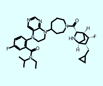 CCN(C(=O)c1cc(F)ccc1N1CCN(C2CCCN(C(=O)[C@H]3N[C@H]4C[C@@H]3[C@H](F)[C@@H]4CC3CC3)CC2)c2ncncc21)C(C)C